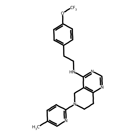 Cc1ccc(N2CCc3ncnc(NCCc4ccc(OC(F)(F)F)cc4)c3C2)nc1